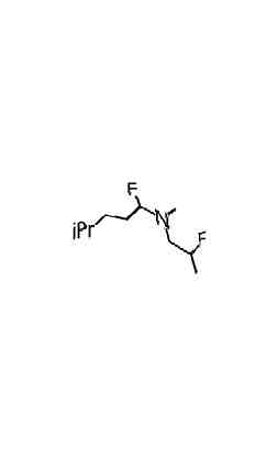 CC(C)CCC(F)N(C)CC(C)F